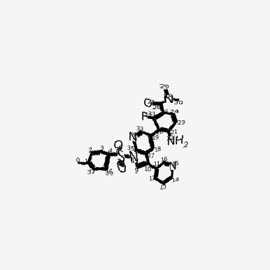 Cc1ccc(S(=O)(=O)n2cc(-c3cccnc3)c3cc(-c4c(N)ccc(C(=O)N(C)C)c4F)cnc32)cc1